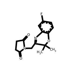 CC1(C)Oc2ccc(F)cc2N=C1CN1C(=O)CCC1=O